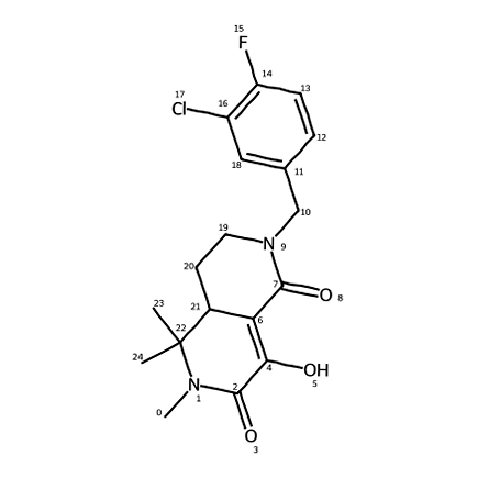 CN1C(=O)C(O)=C2C(=O)N(Cc3ccc(F)c(Cl)c3)CCC2C1(C)C